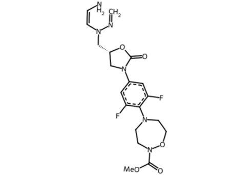 C=NN(/C=C\N)C[C@H]1CN(c2cc(F)c(N3CCON(C(=O)OC)CC3)c(F)c2)C(=O)O1